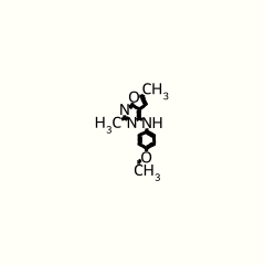 CCOc1ccc(Nc2nc(C)nc3oc(C)cc23)cc1